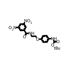 CC(C)(C)OC(=O)Nc1ccc(OCCNC(=O)c2cc([N+](=O)[O-])cc([N+](=O)[O-])c2)cc1